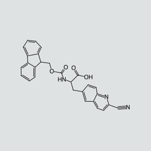 N#Cc1ccc2cc(CC(NC(=O)OCC3c4ccccc4-c4ccccc43)C(=O)O)ccc2n1